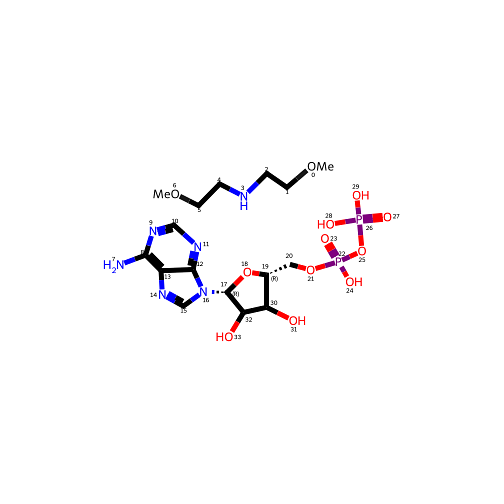 COCCNCCOC.Nc1ncnc2c1ncn2[C@@H]1O[C@H](COP(=O)(O)OP(=O)(O)O)C(O)C1O